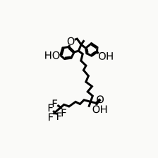 CC(CCCCCCCCCC1c2ccc(O)cc2OCC1(C)c1ccc(O)cc1)(CCCCCC(F)(F)C(F)(F)F)C(=O)O